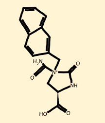 NC(=O)[N+]1(Cc2ccc3ccccc3c2)C[C@H](C(=O)O)NC1=O